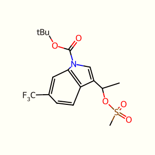 CC(OS(C)(=O)=O)c1cn(C(=O)OC(C)(C)C)c2cc(C(F)(F)F)ccc12